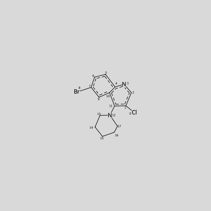 Clc1cnc2ccc(Br)cc2c1N1CCCCC1